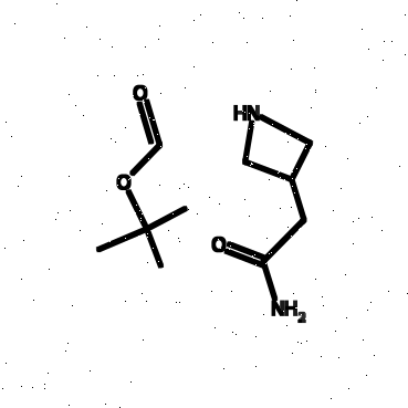 CC(C)(C)OC=O.NC(=O)CC1CNC1